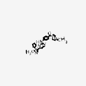 Cc1ncc(-c2ccnc(Nc3ccc(C(=O)N4CCN(C)CC4)cc3)n2)n1C1CCCC1